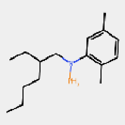 CCCCC(CC)CN(P)c1cc(C)ccc1C